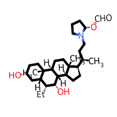 CC[C@H]1[C@@H](O)[C@@H]2[C@H](CC[C@]3(C)[C@@H]([C@H](C)CCN4CCC[C@@H]4OC=O)CC[C@@H]23)[C@@]2(C)CC[C@@H](O)C[C@@H]12